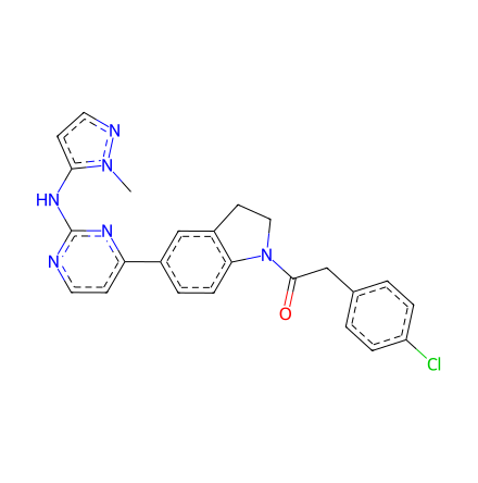 Cn1nccc1Nc1nccc(-c2ccc3c(c2)CCN3C(=O)Cc2ccc(Cl)cc2)n1